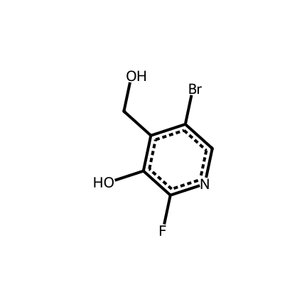 OCc1c(Br)cnc(F)c1O